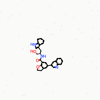 O=C(N[C@@H](CO)Cc1c[nH]c2ccccc12)c1cc(-c2cnc3ccccc3c2)cc2c1OCC2